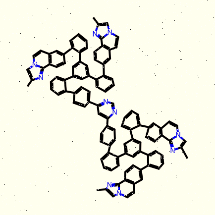 Cc1cn2ccc3cc(-c4ccccc4-c4cc(-c5ccccc5-c5ccc(-c6cc(-c7ccc(-c8ccccc8-c8cc(-c9ccccc9-c9ccc%10c(ccn%11cc(C)nc%10%11)c9)cc(-c9ccccc9-c9ccc%10c(ccn%11cc(C)nc%10%11)c9)c8)cc7)ncn6)cc5)cc(-c5ccccc5-c5ccc6c(ccn7cc(C)nc67)c5)c4)ccc3c2n1